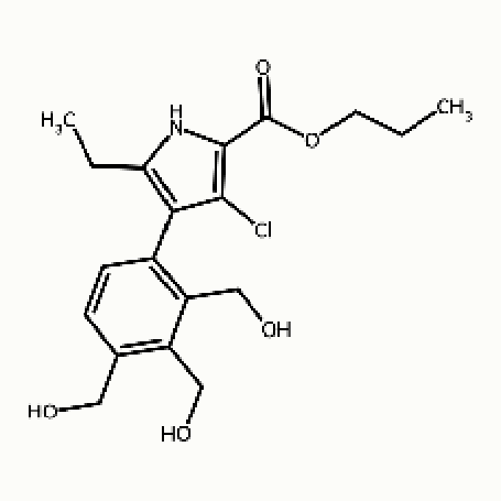 CCCOC(=O)c1[nH]c(CC)c(-c2ccc(CO)c(CO)c2CO)c1Cl